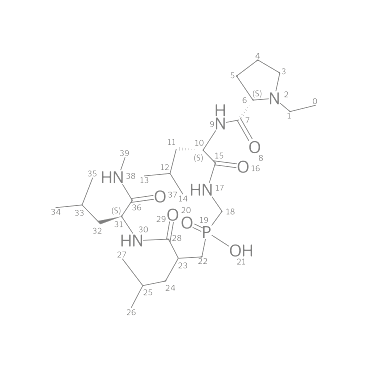 CCN1CCC[C@H]1C(=O)N[C@@H](CC(C)C)C(=O)NCP(=O)(O)CC(CC(C)C)C(=O)N[C@@H](CC(C)C)C(=O)NC